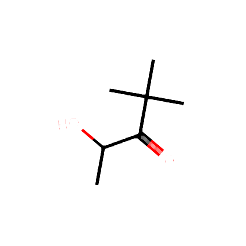 CC(O)C(=O)C(C)(C)C